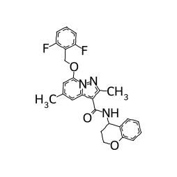 Cc1cc(OCc2c(F)cccc2F)n2nc(C)c(C(=O)NC3CCOc4ccccc43)c2c1